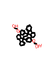 OCCOc1ccc(C2(CCC3(c4ccc(OCCO)cc4)C4=CCCC=C4c4ccccc43)C3=CCCC=C3c3ccccc32)cc1